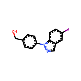 OCc1ccc(-n2ncc3cc(I)ccc32)cc1